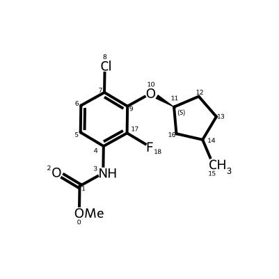 COC(=O)Nc1ccc(Cl)c(O[C@H]2CCC(C)C2)c1F